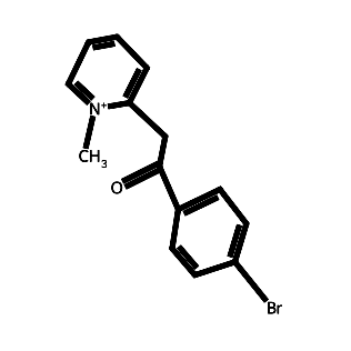 C[n+]1ccccc1CC(=O)c1ccc(Br)cc1